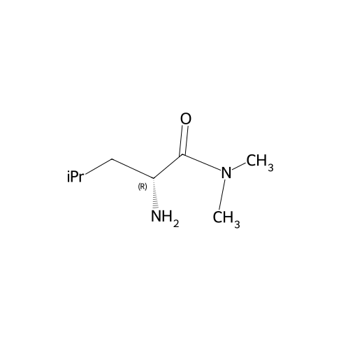 CC(C)C[C@@H](N)C(=O)N(C)C